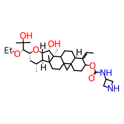 C/C=C1\C(OC(=O)NC2CNC2)CCC23CC24CCC2(C)[C@@H]5[C@H](O[C@@H]([C@H](OCC)C(C)(C)O)C[C@H]5C)[C@H](O)[C@@]2(C)C4CC[C@@H]13